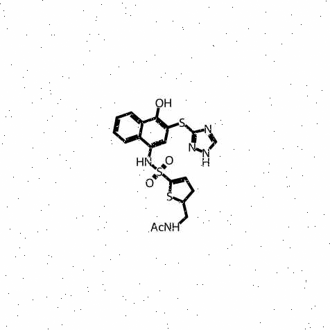 CC(=O)NCC1CC=C(S(=O)(=O)Nc2cc(Sc3nc[nH]n3)c(O)c3ccccc23)S1